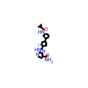 NC(=O)c1ccnc2[nH]c(-c3ccc(-c4cccc(NC(=O)C5CC5)c4)cc3F)nc12